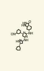 O=Nc1cccc(-c2cc(Nc3cc(-c4ccccc4)[nH]n3)nc(Nc3ccc4c(=O)[nH][nH]c4c3)n2)c1